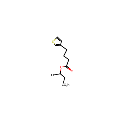 CCC(CC(=O)O)OC(=O)CCCc1ccsc1